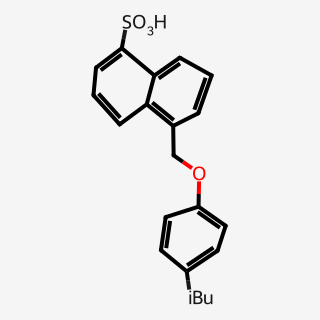 CCC(C)c1ccc(OCc2cccc3c(S(=O)(=O)O)cccc23)cc1